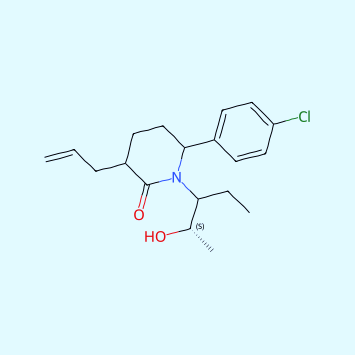 C=CCC1CCC(c2ccc(Cl)cc2)N(C(CC)[C@H](C)O)C1=O